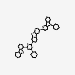 c1ccc(-c2nc(-c3ccc4c(c3)oc3ccc(-c5ccc6c(c5)c5ccccc5n6-c5ccccc5)cc34)nc(-c3cccc4c3sc3ccccc34)n2)cc1